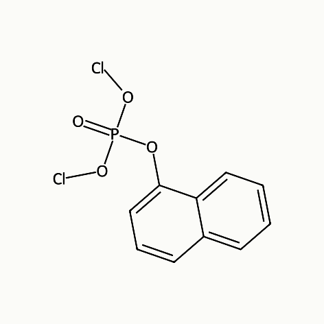 O=P(OCl)(OCl)Oc1cccc2ccccc12